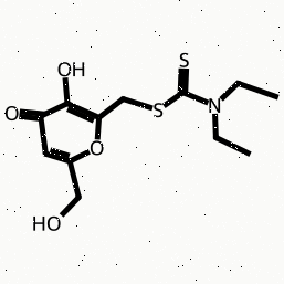 CCN(CC)C(=S)SCc1oc(CO)cc(=O)c1O